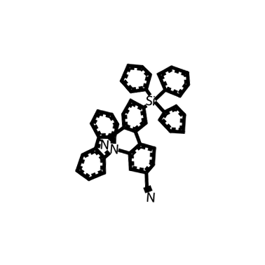 N#Cc1ccc(-c2cc([Si](c3ccccc3)(c3ccccc3)c3ccccc3)ccc2C#N)c(-n2c3ccccc3c3ccccc32)c1